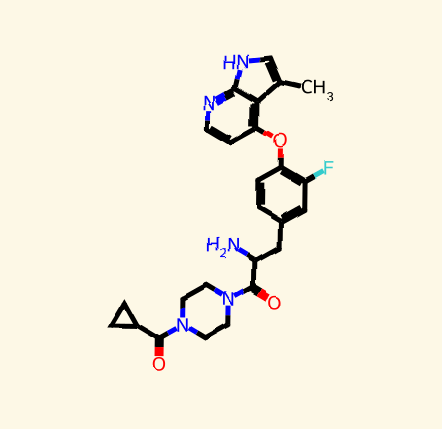 Cc1c[nH]c2nccc(Oc3ccc(CC(N)C(=O)N4CCN(C(=O)C5CC5)CC4)cc3F)c12